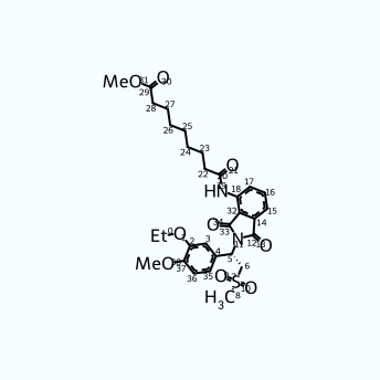 CCOc1cc([C@@H](CS(C)(=O)=O)N2C(=O)c3cccc(NC(=O)CCCCCCCC(=O)OC)c3C2=O)ccc1OC